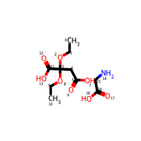 CCOC(CC(=O)O)(OCC)C(=O)O.NCC(=O)O